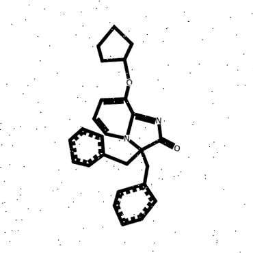 O=C1N=C2C(OC3CCCC3)=CC=CN2C1(Cc1ccccc1)Cc1ccccc1